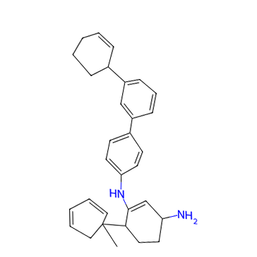 CC1(C2CCC(N)C=C2Nc2ccc(-c3cccc(C4C=CCCC4)c3)cc2)C=CC=CC1